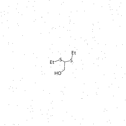 CCSC(CO)SCC